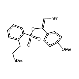 CCCC=C(OS(=O)(=O)c1ccccc1CCCCCCCCCCCC)c1ccc(OC)cc1